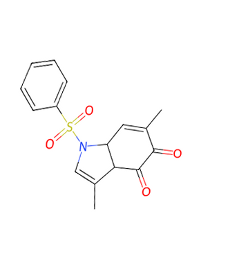 CC1=CC2C(C(=O)C1=O)C(C)=CN2S(=O)(=O)c1ccccc1